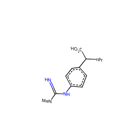 CCCC(C(=O)O)c1ccc(NC(=N)NC)cc1